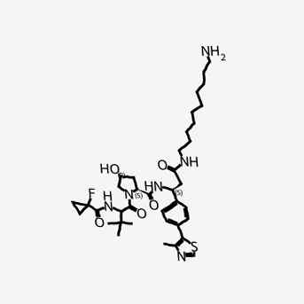 Cc1ncsc1-c1ccc([C@H](CC(=O)NCCCCCCCCCCN)NC(=O)[C@@H]2C[C@@H](O)CN2C(=O)C(NC(=O)C2(F)CC2)C(C)(C)C)cc1